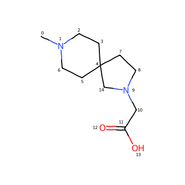 CN1CCC2(CC1)CCN(CC(=O)O)C2